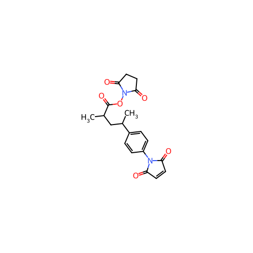 CC(CC(C)c1ccc(N2C(=O)C=CC2=O)cc1)C(=O)ON1C(=O)CCC1=O